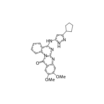 COc1cc2nc3nc(Nc4cc(C5CCCC5)n[nH]4)c4ccccc4n3c(=O)c2cc1OC